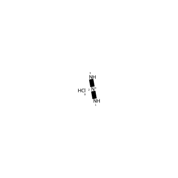 Cl.N=[N+]=N